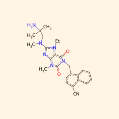 CCn1c(N(C)CC(C)(C)N)nc2c1c(=O)n(Cc1ccc(C#N)c3ccccc13)c(=O)n2C